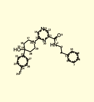 O=C(NCCc1ccccc1)c1cncc(N2CCC(O)(c3ccc(F)cc3)CC2)n1